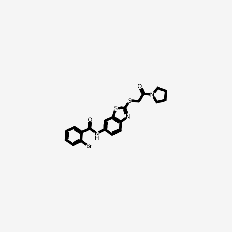 O=C(Nc1ccc2nc(SCC(=O)N3CCCC3)sc2c1)c1ccccc1Br